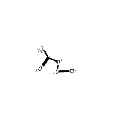 CC(=O)OOCl